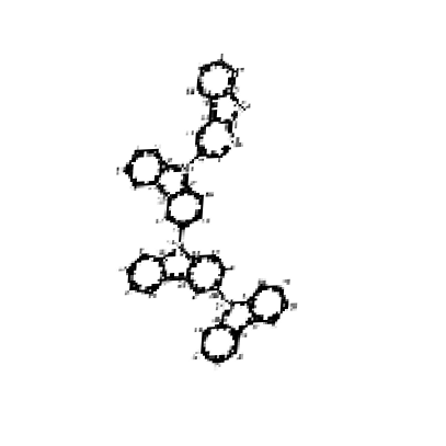 c1cnc2sc3ncc(-n4c5ccccc5c5cc(-n6c7ccccc7c7cc(-n8c9ccccc9c9ccccc98)ccc76)ccc54)cc3c2c1